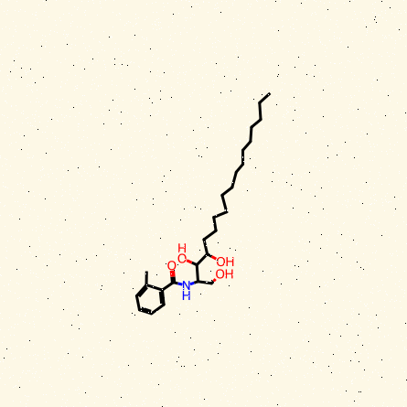 CCCCCCCCCCCCCCC(O)C(O)C(CO)NC(=O)c1ccccc1C